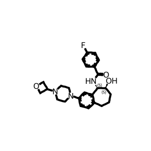 O=C(N[C@H]1c2cc(N3CCN(C4COC4)CC3)ccc2CCC[C@@H]1O)c1ccc(F)cc1